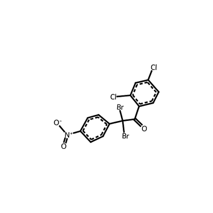 O=C(c1ccc(Cl)cc1Cl)C(Br)(Br)c1ccc([N+](=O)[O-])cc1